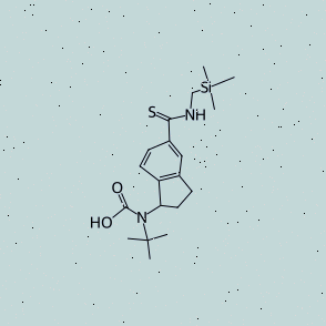 CC(C)(C)N(C(=O)O)C1CCc2cc(C(=S)NC[Si](C)(C)C)ccc21